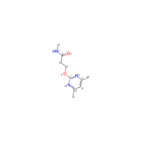 CNC(=O)CCOc1nc(C)[c]c(C)n1